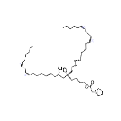 CCCCC/C=C\C/C=C\CCCCCCCCC(O)(CCCCCCCC/C=C\C/C=C\CCCCC)CCCCOC(=O)CN1CCCC1